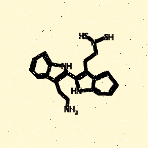 NCCc1c(-c2[nH]c3ccccc3c2CCN(S)S)[nH]c2ccccc12